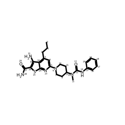 CCCc1cc(N2CCC(N(C)C(=O)Nc3ccccc3)CC2)nc2sc(C(N)=O)c(N)c12